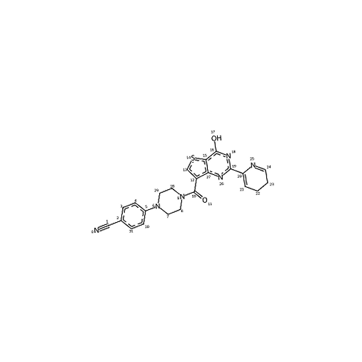 N#Cc1ccc(N2CCN(C(=O)c3csc4c(O)nc(C5=CCCC=N5)nc34)CC2)cc1